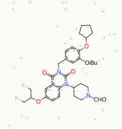 CC(C)COc1cc(Cn2c(=O)c3cc(OC(CF)CF)ccc3n(C3CCN(C=O)CC3)c2=O)ccc1OC1CCCC1